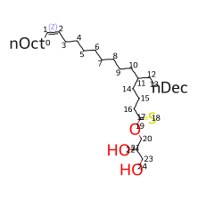 CCCCCCCC/C=C\CCCCCCCCC(CCCCCCCCCCC)CCCC(=S)OCC(O)CO